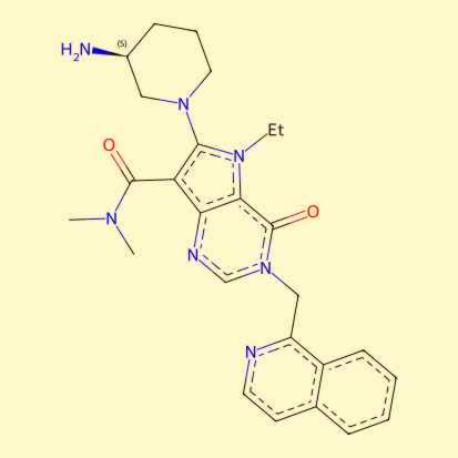 CCn1c(N2CCC[C@H](N)C2)c(C(=O)N(C)C)c2ncn(Cc3nccc4ccccc34)c(=O)c21